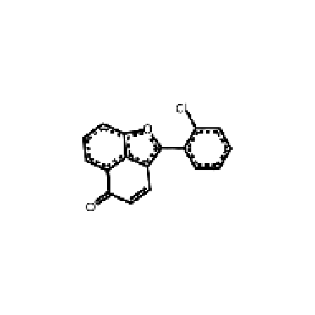 O=C1C=Cc2c(-c3ccccc3Cl)oc3cccc1c23